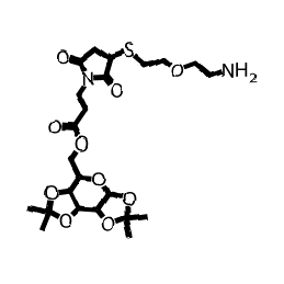 CC1(C)OC2OC(COC(=O)CCN3C(=O)CC(SCCOCCN)C3=O)C3OC(C)(C)OC3C2O1